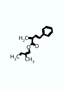 C=CC(C)=COC(=O)C(=C)C=Cc1ccccc1